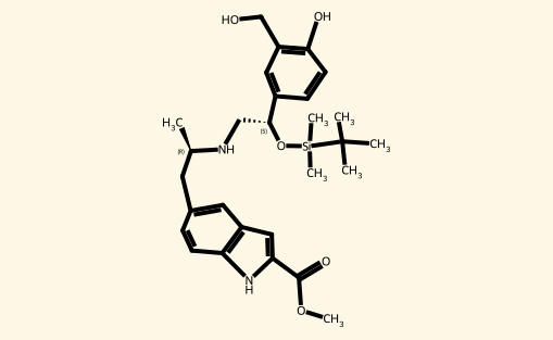 COC(=O)c1cc2cc(C[C@@H](C)NC[C@@H](O[Si](C)(C)C(C)(C)C)c3ccc(O)c(CO)c3)ccc2[nH]1